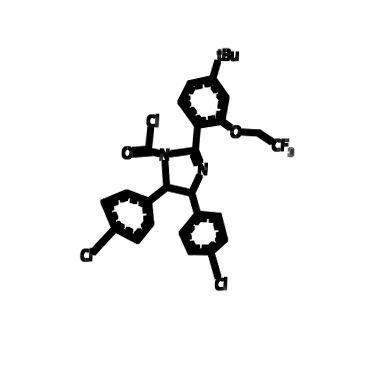 CC(C)(C)c1ccc(C2=NC(c3ccc(Cl)cc3)C(c3ccc(Cl)cc3)N2C(=O)Cl)c(OCC(F)(F)F)c1